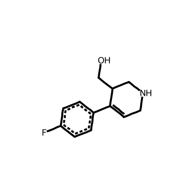 OCC1CNCC=C1c1ccc(F)cc1